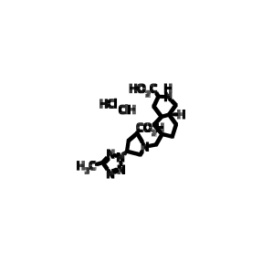 Cc1nnn([C@H]2C[C@@H](C(=O)O)N(CC3CC[C@H]4CNC(C(=O)O)CC4C3)C2)n1.Cl.Cl